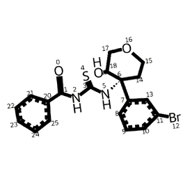 O=C(NC(=S)N[C@@]1(c2cccc(Br)c2)CCOCC1O)c1ccccc1